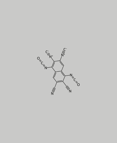 [C-]#[N+]c1cc2c(N=C=O)c(C#N)c(C#N)cc2c(N=C=O)c1[N+]#[C-]